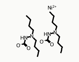 CCCCN(CCCC)NC(=O)[O-].CCCCN(CCCC)NC(=O)[O-].[Ni+2]